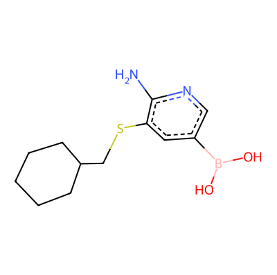 Nc1ncc(B(O)O)cc1SCC1CCCCC1